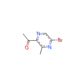 CC(=O)c1ncc(Br)nc1C